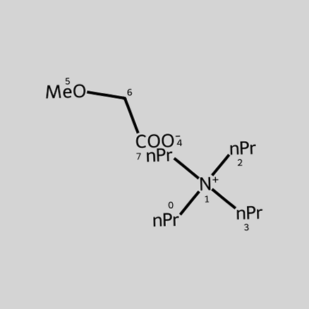 CCC[N+](CCC)(CCC)CCC.COCC(=O)[O-]